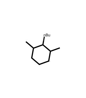 CCCCC1C(C)[CH]CCC1C